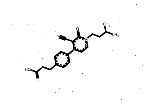 CC(C)CCn1ccc(-c2ccc(CCC(=O)O)cc2)c(C#N)c1=O